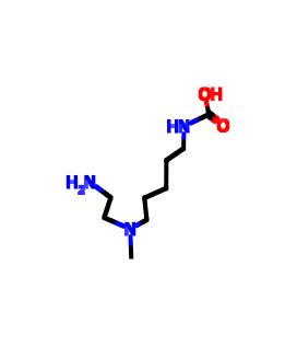 CN(CCN)CCCCCNC(=O)O